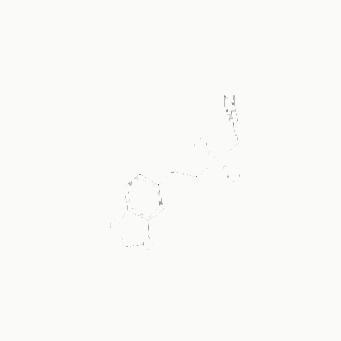 N#CCS(=O)(=O)CCc1ccc2c(c1)OCO2